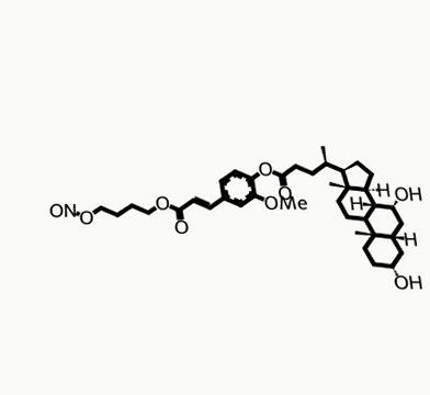 COc1cc(/C=C/C(=O)OCCCCON=O)ccc1OC(=O)CC[C@@H](C)[C@H]1CC[C@H]2[C@H]3C(CC[C@]12C)[C@@]1(C)CC[C@@H](O)C[C@H]1C[C@H]3O